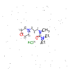 CCN(CC)C(=O)N(C)CCCN1CCOCC1.Cl